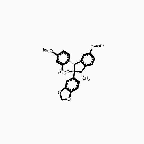 CCCOc1ccc2c(c1)[C@@H](c1ccc(OC)cc1O)[C@@](C(=O)O)(c1ccc3c(c1)OCO3)[C@H]2C